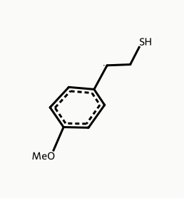 COc1ccc([CH]CS)cc1